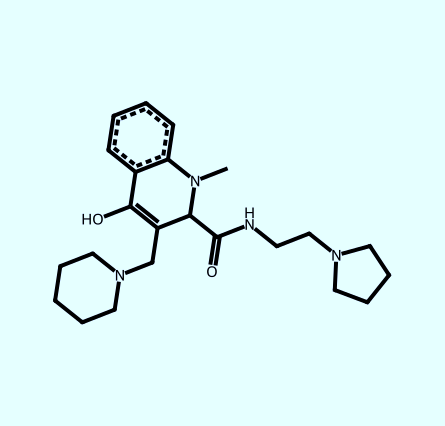 CN1c2ccccc2C(O)=C(CN2CCCCC2)C1C(=O)NCCN1CCCC1